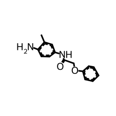 Cc1cc(NC(=O)COc2ccccc2)ccc1N